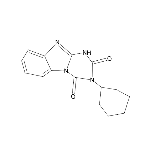 O=c1[nH]c2nc3ccccc3n2c(=O)n1C1CCCCC1